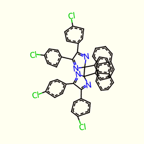 Clc1ccc(C2=NC(c3cccc4ccccc34)(C3(c4cccc5ccccc45)N=C(c4ccc(Cl)cc4)C(c4ccc(Cl)cc4)=N3)N=C2c2ccc(Cl)cc2)cc1